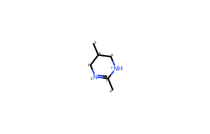 CC1=NCC(C)CN1